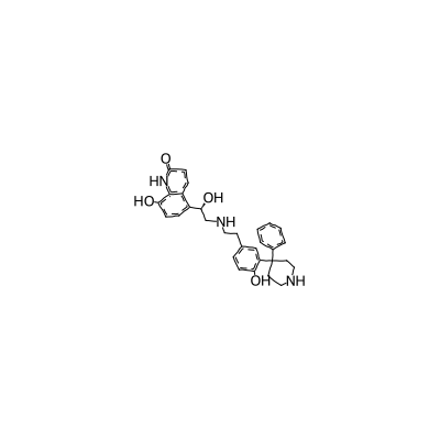 O=c1ccc2c([C@@H](O)CNCCc3ccc(O)c(C4(c5ccccc5)CCNCC4)c3)ccc(O)c2[nH]1